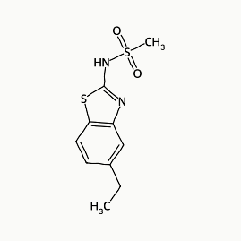 CCc1ccc2sc(NS(C)(=O)=O)nc2c1